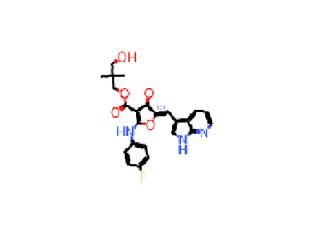 CC(C)(CO)COC(=O)C1=C(Nc2ccc(F)cc2)O/C(=C\c2c[nH]c3ncccc23)C1=O